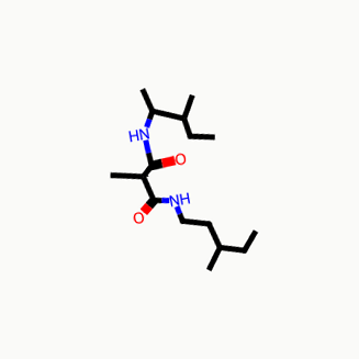 CCC(C)CCNC(=O)[C](C)C(=O)NC(C)C(C)CC